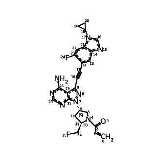 C=CC(=O)N1C[C@@H](n2nc(C#Cc3cc4ncn(C5CC5)c4cc3F)c3c(N)ncnc32)C[C@@H]1CF